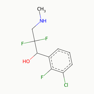 CNCC(F)(F)C(O)c1cccc(Cl)c1F